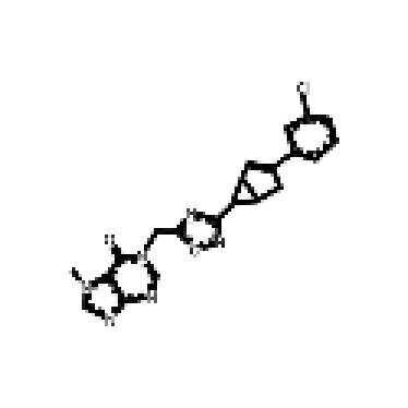 Cn1cnc2ncn(Cc3nc(C4C5C=C(c6cccc(Cl)c6)CC54)no3)c(=O)c21